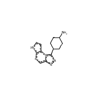 NC1CCC(c2nnc3cnc4[nH]ccc4n23)CC1